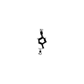 N#Cc1ccc(C[S+]=O)cc1